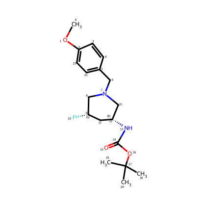 COc1ccc(CN2C[C@@H](F)C[C@@H](NC(=O)OC(C)(C)C)C2)cc1